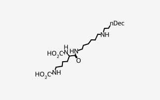 CCCCCCCCCCCCNCCCCCCNC(=O)C(CCCCNC(=O)O)NC(=O)O